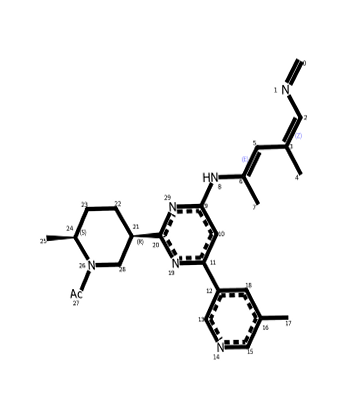 C=N/C=C(C)\C=C(/C)Nc1cc(-c2cncc(C)c2)nc([C@@H]2CC[C@H](C)N(C(C)=O)C2)n1